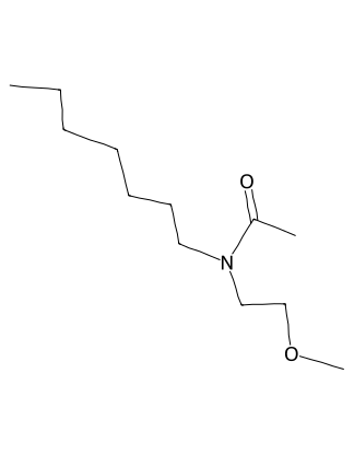 CCCCCCCN(CCOC)C(C)=O